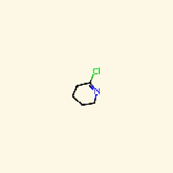 ClC1=NCCCC1